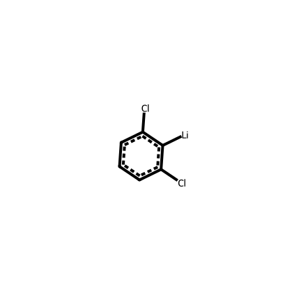 [Li][c]1c(Cl)cccc1Cl